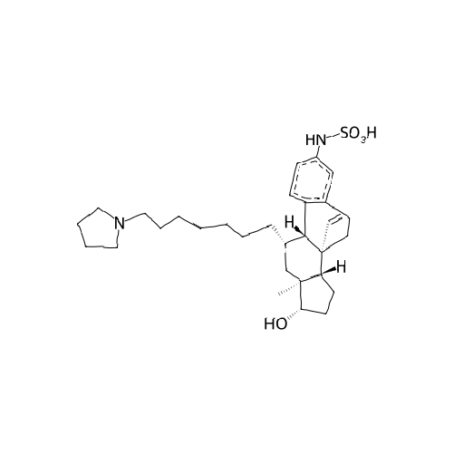 C=C[C@@]12CCc3cc(NS(=O)(=O)O)ccc3[C@H]1[C@@H](CCCCCCCN1CCCC1)C[C@@]1(C)[C@H]2CC[C@@H]1O